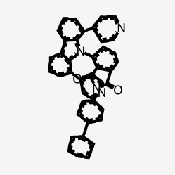 O=C1c2cccc(-n3c4c(-c5ccncc5)cccc4c4cccc(-c5ccncc5)c43)c2C(=O)N1c1ccc(-c2ccccc2)cc1